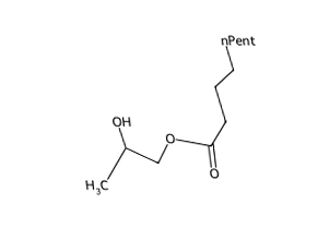 CCCCCCCCC(=O)OCC(C)O